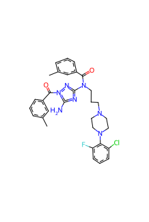 Cc1cccc(C(=O)N(CCCN2CCN(c3c(F)cccc3Cl)CC2)c2nc(N)n(C(=O)c3cccc(C)c3)n2)c1